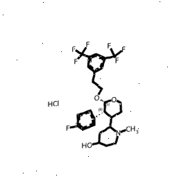 CN1CCC(O)CC1C1CCO[C@@H](OCCc2cc(C(F)(F)F)cc(C(F)(F)F)c2)[C@H]1c1ccc(F)cc1.Cl